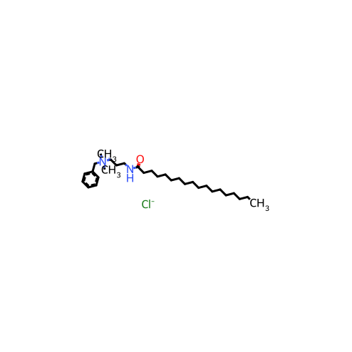 CCCCCCCCCCCCCCCCCC(=O)NCCC[N+](C)(C)Cc1ccccc1.[Cl-]